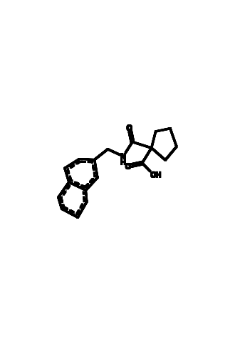 O=C(O)C1(C(=O)NCc2ccc3ccccc3c2)CCCC1